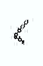 Cc1cc(-c2cnc3[nH]cc(-c4ccc(C(=O)N(C)C)cc4F)c3c2)cc(C)c1N1CCN(C2CCN(C)CC2)CC1